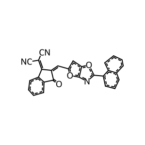 N#CC(C#N)=C1/C(=C/c2cc3oc(-c4cccc5ccccc45)nc3o2)C(=O)c2ccccc21